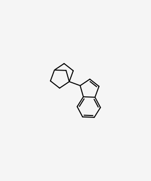 C1=CC(C23CCC(CC2)C3)c2ccccc21